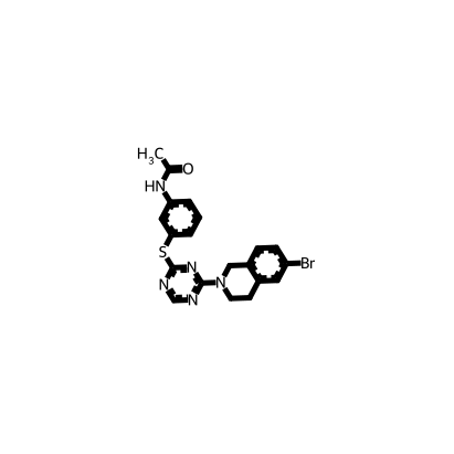 CC(=O)Nc1cccc(Sc2ncnc(N3CCc4cc(Br)ccc4C3)n2)c1